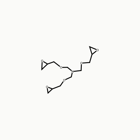 C(OCN(COCC1CO1)COCC1CO1)C1CO1